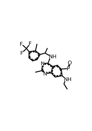 CCNc1cc2nc(C)nc(NC(C)c3cccc(C(F)(F)F)c3C)c2cc1P=O